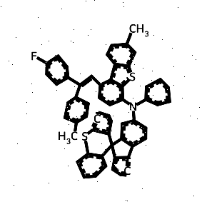 Cc1ccc(/C(=C\c2ccc(N(c3ccccc3)c3ccc4c(c3)C3(c5ccccc5Sc5ccccc53)c3ccccc3-4)c3sc4cc(C)ccc4c23)c2ccc(F)cc2)cc1